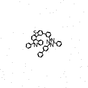 c1ccc(-c2ccc(-c3nc(-c4ccccc4)nc(-c4cccc(-c5ccc6sc7ccc8c(-c9ccccc9)nc9ccccc9c8c7c6c5)c4)n3)cc2)cc1